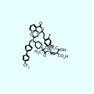 CC(C)OC(=O)C(C)(C)N1CCC(N(Cc2ccc(-c3ccc(C(F)(F)F)cc3)cc2)C(=O)Cn2c(CCc3ccc(F)cc3F)nc(=O)c3cccnc32)CC1.O=C(O)C(O)C(O)C(=O)O